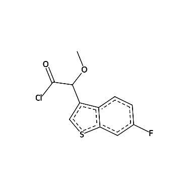 COC(C(=O)Cl)c1csc2cc(F)ccc12